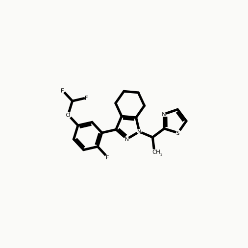 CC(c1nccs1)n1nc(-c2cc(OC(F)F)ccc2F)c2c1CCCC2